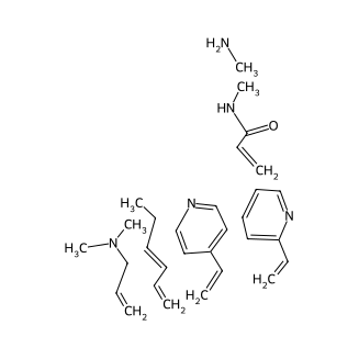 C=CC(=O)NC.C=CC=CCC.C=CCN(C)C.C=Cc1ccccn1.C=Cc1ccncc1.CN